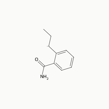 CC[CH]c1ccccc1C(N)=O